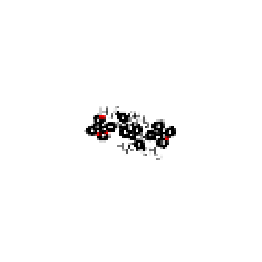 C=Cc1ccc(N(c2ccc(C3(c4ccccc4)c4ccccc4-c4ccccc43)cc2)c2cc(C)cc(C)c2)c2ccc3ccc(N(c4ccc(C5(c6ccccc6)c6ccccc6-c6ccccc65)cc4)c4cc(C)cc(C)c4)c(C)c3c12